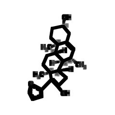 C[C@H]1C=C2C[C@@H](O)CC[C@]2(C)[C@H]2CC[C@]3(C)C(c4ccco4)=C(O)C[C@H]3[C@H]12